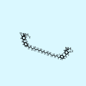 Cc1cc(Cc2ccc(CCCCCCCCCCCCCCCCCCCc3ccc(Cc4ccc(N)c(C)c4)cc3)cc2)ccc1N